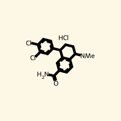 CNC1CCC(c2ccc(Cl)c(Cl)c2)c2cc(C(N)=O)ccc21.Cl